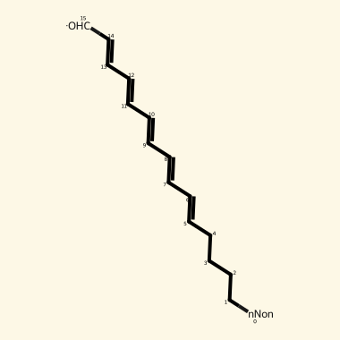 CCCCCCCCCCCCC/C=C/C=C/C=C/C=C/C=C/[C]=O